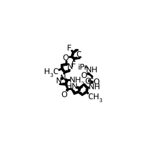 Cc1cc2cc(C(=O)c3cnn(-c4cnc(Oc5c(F)cccc5F)cc4C)c3N)[nH]c2cc1NS(=O)(=O)CC(=O)NC(C)C